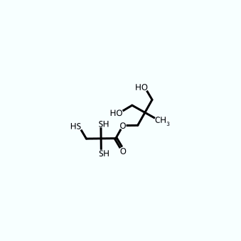 CC(CO)(CO)COC(=O)C(S)(S)CS